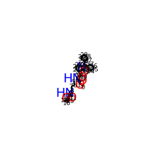 COC(=O)[C@H](CCCCNC(=O)OC(C)(C)C)NC(=O)c1cccn(C(c2ccccc2)c2ccccc2)c1=O